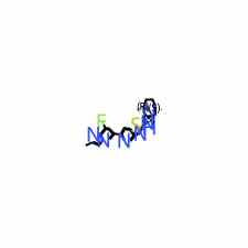 Cc1cn2cc(-c3cc4sc(N(C)[C@H]5C[C@]6(C)CC[C@](C)(C5)N6)nc4cn3)cc(F)c2n1